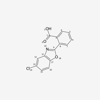 O=C(O)c1ccccc1-c1nc2cc(Cl)ccc2o1